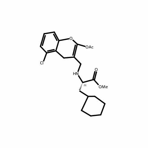 COC(=O)[C@H](CC1CCCCC1)NCC1=C(OC(C)=O)Oc2cccc(Cl)c2C1